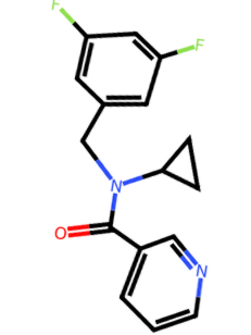 O=C(c1cccnc1)N(Cc1cc(F)cc(F)c1)C1CC1